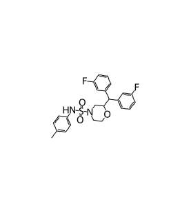 Cc1ccc(NS(=O)(=O)N2CCOC(C(c3cccc(F)c3)c3cccc(F)c3)C2)cc1